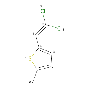 Cc1ccc(C=C(Cl)Cl)s1